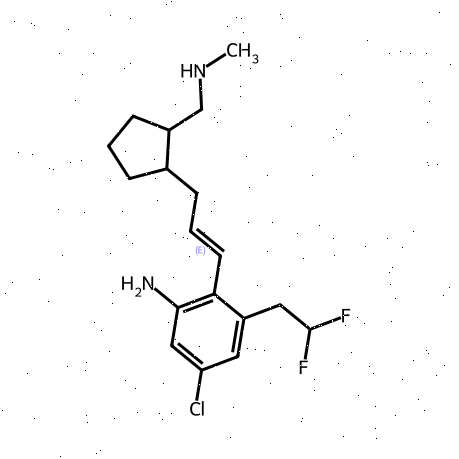 CNCC1CCCC1C/C=C/c1c(N)cc(Cl)cc1CC(F)F